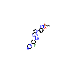 CC(C)S(=O)(=O)Nc1cccc(-n2ccc3cnc(Nc4ccc(N5CCN(C)CC5)c(F)c4)nc32)c1